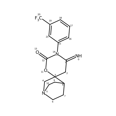 N=C1CC2(CN3CCC2CC3)OC(=O)N1c1cccc(C(F)(F)F)c1